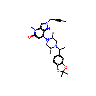 CC#CCn1cc2c(n1)c(N1C[C@@H](C)N(C(C)c3ccc4c(c3)OC(C)(C)O4)C[C@@H]1C)cc(=O)n2C